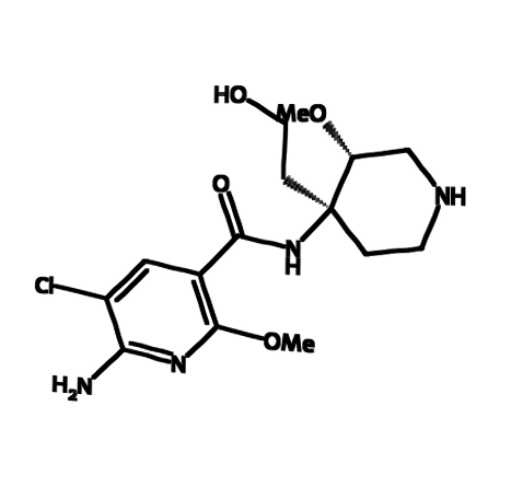 COc1nc(N)c(Cl)cc1C(=O)N[C@]1(CCO)CCNC[C@H]1OC